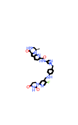 C[C@@H]1CNC(=O)c2cc3ccc(C(=O)Nc4cnn(Cc5ccc(NCc6cc(N7CCC(=O)NC7=O)ncc6F)cc5)c4)nc3n21